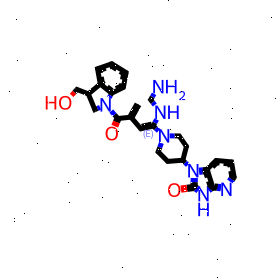 C=C(/C=C(\NCN)N1CCC(n2c(=O)[nH]c3ncccc32)CC1)C(=O)N1CC(CO)c2ccccc21